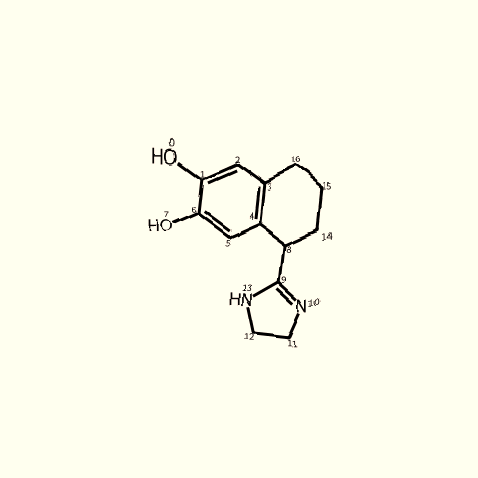 Oc1cc2c(cc1O)C(C1=NCCN1)CCC2